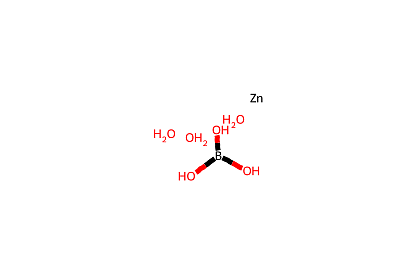 O.O.O.OB(O)O.[Zn]